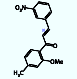 COc1cc(C)ccc1C(=O)/C=C/c1cccc([N+](=O)[O-])c1